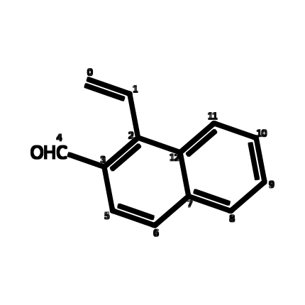 C=Cc1c(C=O)ccc2ccccc12